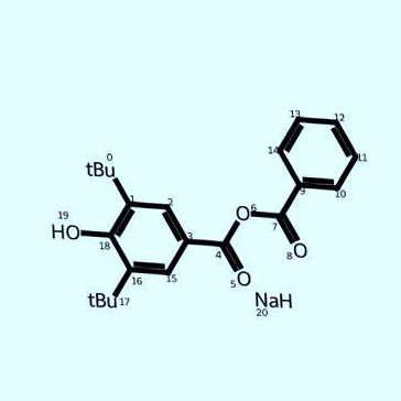 CC(C)(C)c1cc(C(=O)OC(=O)c2ccccc2)cc(C(C)(C)C)c1O.[NaH]